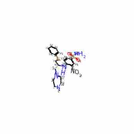 CN1CCN(C[C@H](CSc2ccccc2)Nc2ccc(S(N)(=O)=O)cc2[N+](=O)[O-])CC1